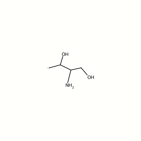 [CH2]C(O)C(N)CO